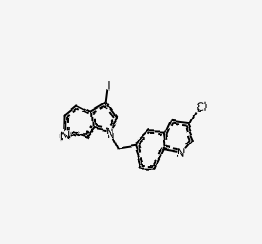 Clc1cnc2ccc(Cn3cc(I)c4ccncc43)cc2c1